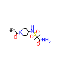 C[C](C)C(=O)N1CCC(NS(=O)(=O)C(C)(C)C(N)=O)CC1